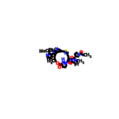 C=CC(=O)N1CC[C@H](C(=O)N(C)C(C(=O)N[C@H]2Cc3csc(n3)-c3cnc4c(c3)c(c(-c3cccnc3[C@H](C)OC)n4CC)CC(C)(C)COC(=O)[C@@H]3CCCN(N3)C2=O)C(C)C)C1